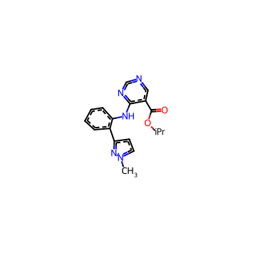 CC(C)OC(=O)c1cncnc1Nc1ccccc1-c1ccn(C)n1